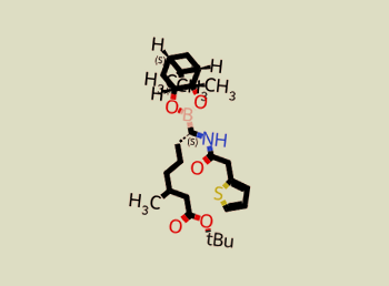 CC(CCC[C@@H](NC(=O)Cc1cccs1)B1O[C@@H]2C[C@@H]3C[C@@H](C3(C)C)[C@]2(C)O1)CC(=O)OC(C)(C)C